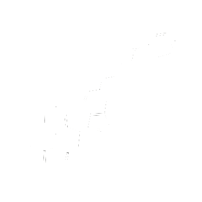 O=C(CC(c1ccccc1)c1c[nH]c2cc(OCCCNc3ccccn3)ccc12)OC(=O)C(F)(F)F